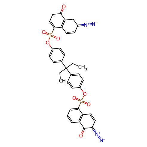 CCC(CC)(c1ccc(OS(=O)(=O)C2=CCC(=O)C3=C2C=CC(=[N+]=[N-])C3)cc1)c1ccc(OS(=O)(=O)c2cccc3c2C=CC(=[N+]=[N-])C3=O)cc1